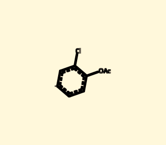 CC(=O)Oc1cc[c]cc1Cl